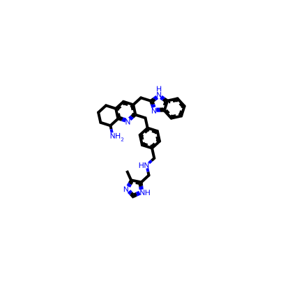 Cc1nc[nH]c1CNCc1ccc(Cc2nc3c(cc2Cc2nc4ccccc4[nH]2)CCCC3N)cc1